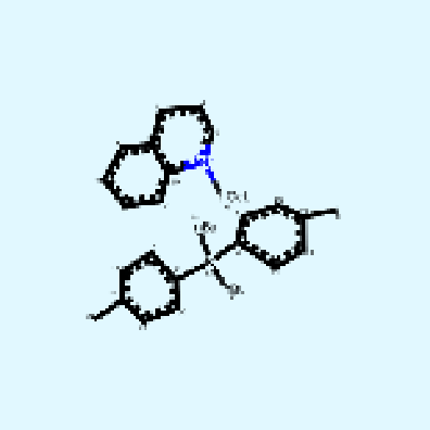 CCCCCCCC[n+]1cccc2ccccc21.CCCC[B-](CCCC)(c1ccc(C)cc1)c1ccc(C)cc1